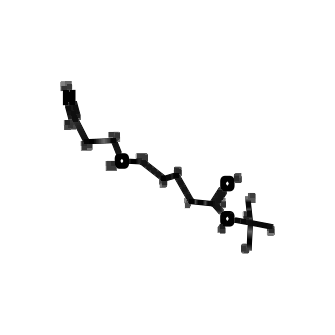 CC(C)(C)OC(=O)CCCCOCCC#N